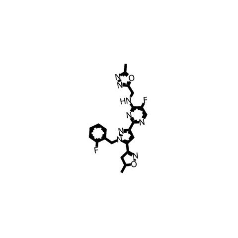 Cc1nnc(CNc2nc(-c3cc(C4=NOC(C)C4)n(Cc4ccccc4F)n3)ncc2F)o1